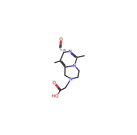 CC1=N[C@@H](C=O)C(C)=C2CN(CC(=O)O)CCN12